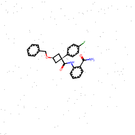 NC(=O)c1ccccc1NC(=O)[C@]1(c2ccc(F)cc2)C[C@@H](OCc2ccccc2)C1